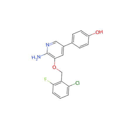 Nc1ncc(-c2ccc(O)cc2)cc1OCc1c(F)cccc1Cl